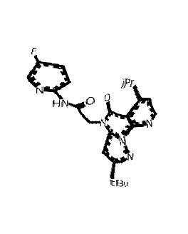 CC(C)c1ccnc2c1c(=O)n(CC(=O)Nc1ccc(F)cn1)c1cc(C(C)(C)C)nn21